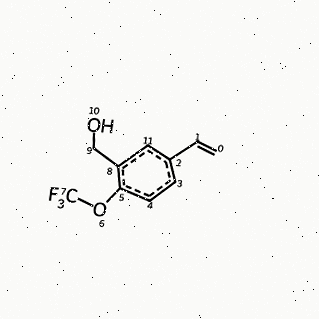 C=Cc1ccc(OC(F)(F)F)c(CO)c1